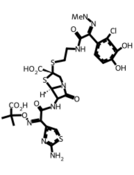 CN/N=C(\C(=O)NCCS[C@]1(C(=O)O)CN2C(=O)C(NC(=O)/C(=N\OC(C)(C)C(=O)O)c3csc(N)n3)[C@H]2S1)c1ccc(O)c(O)c1Cl